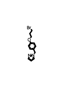 BrCCCOc1ccc(Cn2cccn2)cc1